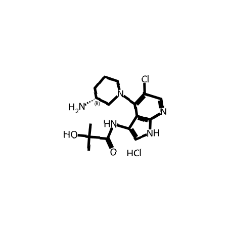 CC(C)(O)C(=O)Nc1c[nH]c2ncc(Cl)c(N3CCC[C@@H](N)C3)c12.Cl